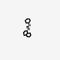 c1ccc(/N=N/[N]c2cccc3ccccc23)cc1